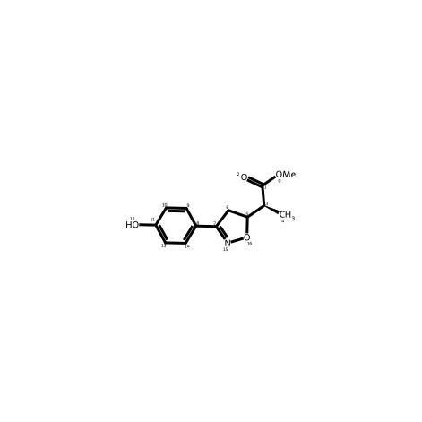 COC(=O)[C@@H](C)C1CC(c2ccc(O)cc2)=NO1